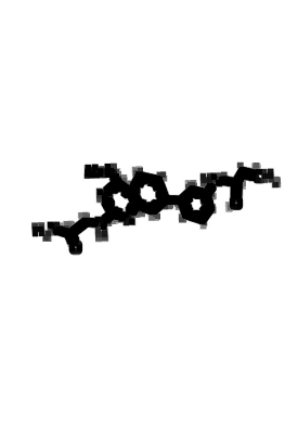 C=CC(=O)Nc1cccc(-c2ccc3c(NC)nc(NCC(N)=O)nc3c2)c1